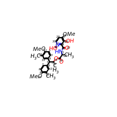 COc1ccc(C(c2ccc(OC)c(C)c2)[C@H](C)OC(=O)[C@H](C)NC(=O)c2c(O)c(OC)cc[n+]2O)cc1C